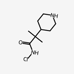 CC(C)(C(=O)NCl)C1CCNCC1